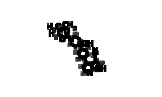 CC(C)(C)OC(=O)N1CCC(O)(c2ccc(-c3ccnc4[nH]cc(C#N)c34)cc2)CC1